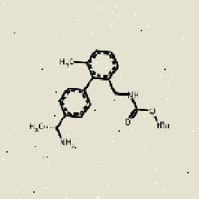 Cc1cccc(CNC(=O)OC(C)(C)C)c1-c1ccc([C@@H](C)N)cc1